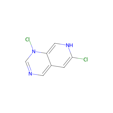 ClC1=CC2=CN=CN(Cl)C2=CN1